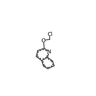 ClCOc1ccc2ccccc2n1